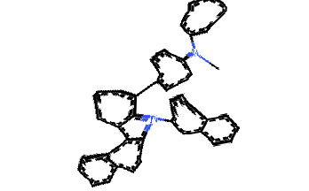 CN(c1ccccc1)c1ccc(-c2cccc3c4c5ccccc5ccc4n(-c4ccc5ccccc5c4)c23)cc1